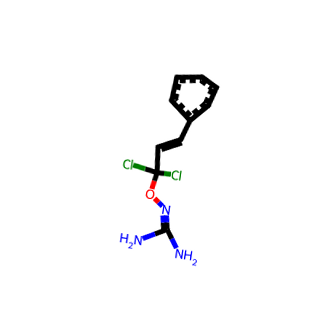 NC(N)=NOC(Cl)(Cl)/C=C/c1ccccc1